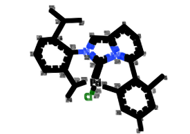 Cc1cc(C)c(-c2cccc3cn(-c4c(C(C)C)cccc4C(C)C)[c](=[Pd][Cl])n23)c(C)c1